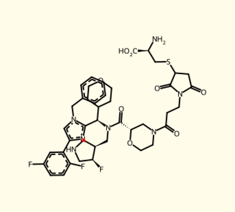 N[C@@H](CSC1CC(=O)N(CCC(=O)N2CCO[C@H](C(=O)N(C[C@@H]3CNC[C@@H]3F)[C@@H](c3nc(-c4cc(F)ccc4F)cn3Cc3ccccc3)C3CCOCC3)C2)C1=O)C(=O)O